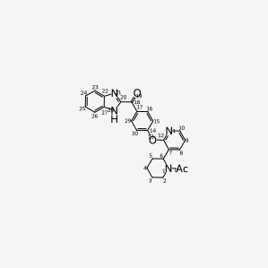 CC(=O)N1CCCCC1c1cccnc1Oc1ccc(C(=O)c2nc3ccccc3[nH]2)cc1